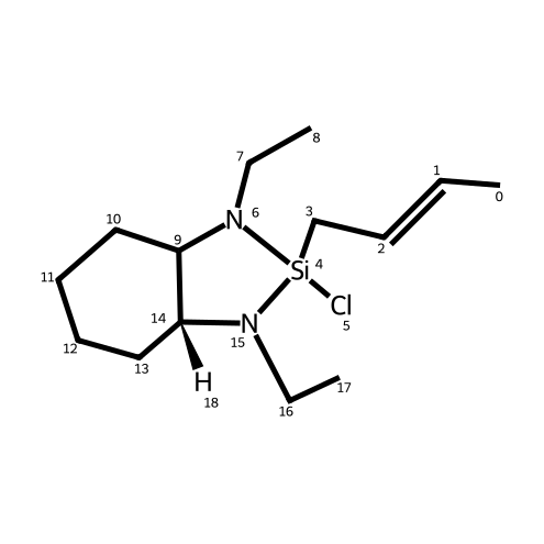 C/C=C/C[Si]1(Cl)N(CC)C2CCCC[C@H]2N1CC